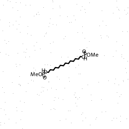 CO[PH](=O)OCCCCCCCCCCCCCCO[PH](=O)OC